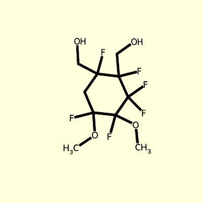 COC1(F)CC(F)(CO)C(F)(CO)C(F)(F)C1(F)OC